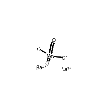 [Ba+2].[La+3].[O]=[Mn](=[O])([O-])[O-]